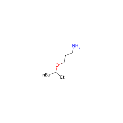 CCCCC(CC)OCCCN